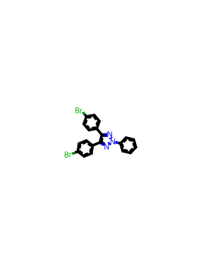 Brc1ccc(-c2nn(-c3ccccc3)nc2-c2ccc(Br)cc2)cc1